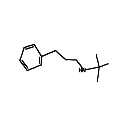 CC(C)(C)NCCCc1ccccc1